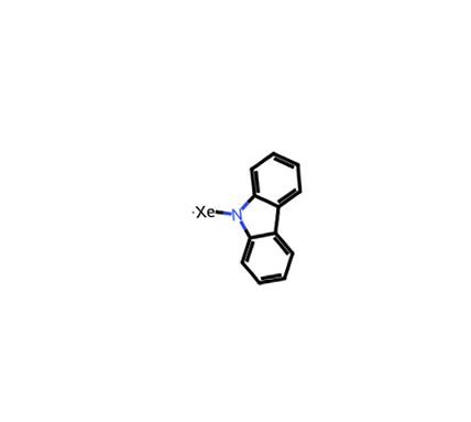 [Xe]n1c2ccccc2c2ccccc21